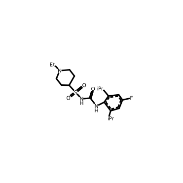 CCN1CCC(S(=O)(=O)NC(=O)Nc2c(C(C)C)cc(F)cc2C(C)C)CC1